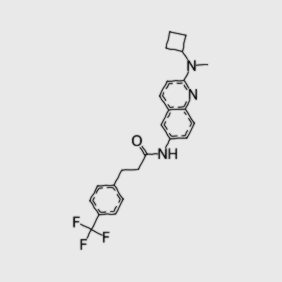 CN(c1ccc2cc(NC(=O)CCc3ccc(C(F)(F)F)cc3)ccc2n1)C1CCC1